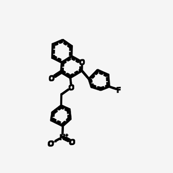 O=c1c(OCc2ccc([N+](=O)[O-])cc2)c(-c2ccc(F)cc2)oc2ccccc12